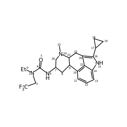 CCN(CC(F)(F)F)C(=O)NC1CC2c3cccc4[nH]c(C5CC5)c(c34)CC2N(C)C1